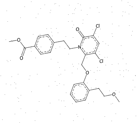 COCCc1ccccc1OCc1c(Cl)cc(Cl)c(=O)n1CCc1ccc(C(=O)OC)cc1